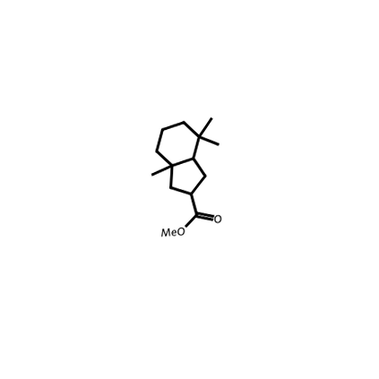 COC(=O)C1CC2C(C)(C)CCCC2(C)C1